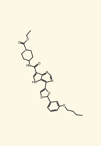 CCCCOc1cccc(C2OC=C(c3ncnc4c(C(=O)NC5CCN(C(=O)OCC)CC5)c[nH]c34)O2)c1